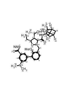 CNC(=O)c1cc(-c2cccc(CN3O[C@@H](CN)[C@@H]([C@H](C)O)[C@H]3C(=O)NC3C[C@H]4C[C@@H]([C@@H]3C)C4(C)C)c2OC)cc(N(C)C)c1